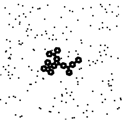 c1ccc(-c2ccc(N(c3ccccc3)c3ccc(-n4c5ccc(N(c6ccccc6)c6ccccc6)cc5c5cc(C6(c7ccccc7)c7ccccc7-c7ccccc76)ccc54)cc3)cc2)cc1